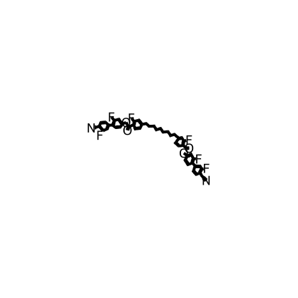 N#Cc1ccc(-c2ccc(OC(=O)c3ccc(CCCCCCCCCc4ccc(C(=O)Oc5ccc(-c6ccc(C#N)c(F)c6)c(F)c5)c(F)c4)cc3F)cc2F)cc1F